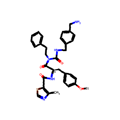 CCOc1ccc(C[C@@H](NC(=O)c2scnc2C)C(=O)N(CCc2ccccc2)C(=O)NCc2ccc(CN)cc2)cc1